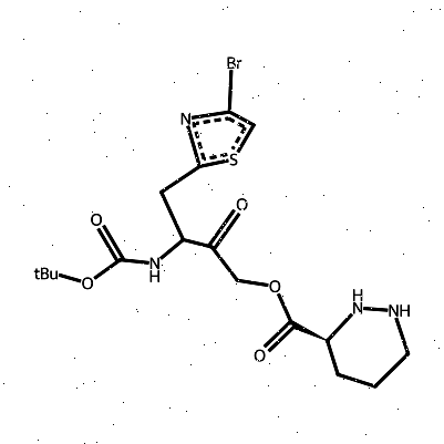 CC(C)(C)OC(=O)NC(Cc1nc(Br)cs1)C(=O)COC(=O)[C@@H]1CCCNN1